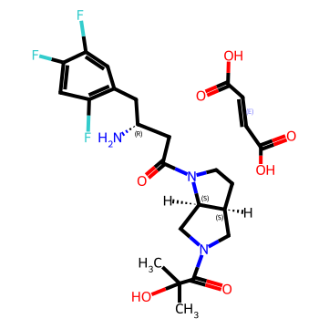 CC(C)(O)C(=O)N1C[C@@H]2CCN(C(=O)C[C@H](N)Cc3cc(F)c(F)cc3F)[C@@H]2C1.O=C(O)/C=C/C(=O)O